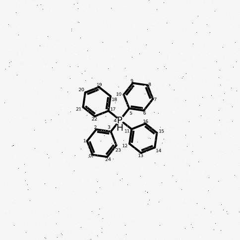 [c]1ccc([PH](c2ccccc2)(c2ccccc2)c2ccccc2)cc1